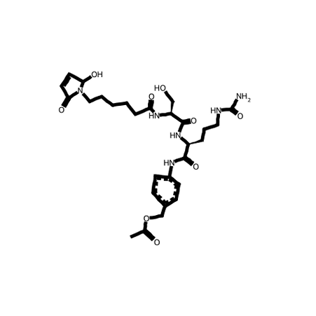 CC(=O)OCc1ccc(NC(=O)[C@H](CCCNC(N)=O)NC(=O)[C@H](CO)NC(=O)CCCCCN2C(=O)C=CC2O)cc1